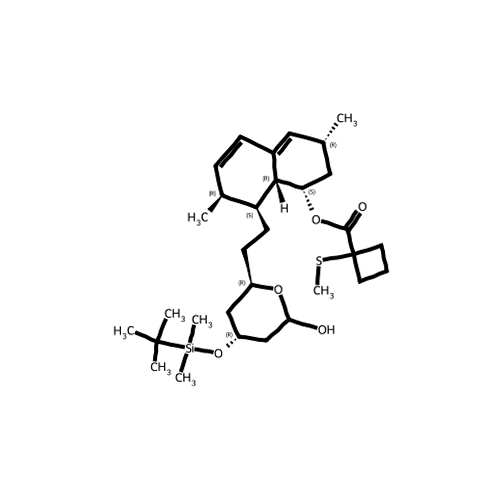 CSC1(C(=O)O[C@H]2C[C@@H](C)C=C3C=C[C@H](C)[C@H](CC[C@@H]4C[C@@H](O[Si](C)(C)C(C)(C)C)CC(O)O4)[C@H]32)CCC1